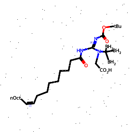 BC(B)(B)N(CC(=O)O)/C(=N\C(=O)OC(C)(C)C)NC(=O)CCCCCCC/C=C\CCCCCCCC